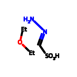 CCOCC.NN=CS(=O)(=O)O